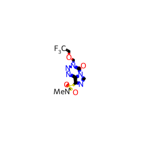 CNS(=O)(=O)c1ncn2c(=O)n(COCC(F)(F)F)nnc12